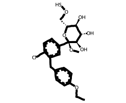 CCOc1ccc(Cc2cc([C@]3(OC)O[C@H](COS)[C@@H](O)[C@H](O)[C@H]3O)ccc2Cl)cc1